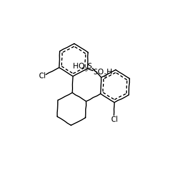 O=S(=O)(O)c1cccc(Cl)c1C1CCCCC1c1c(Cl)cccc1S(=O)(=O)O